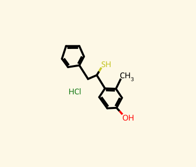 Cc1cc(O)ccc1C(S)Cc1ccccc1.Cl